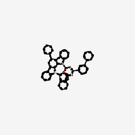 c1ccc(-c2cccc(-c3nc(-c4ccccc4)nc(-n4c5ccccc5c5c(-c6ccccc6)cc6c7ccccc7n(-c7ccccc7)c6c54)n3)c2)cc1